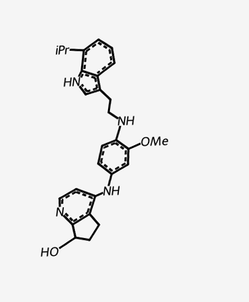 COc1cc(Nc2ccnc3c2CCC3O)ccc1NCCc1c[nH]c2c(C(C)C)cccc12